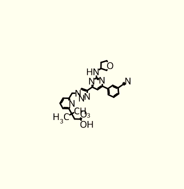 CC(C)(CC(=O)O)c1cccc(Cn2cc(-c3cc(-c4cccc(C#N)c4)nc(NC4CCOC4)n3)nn2)n1